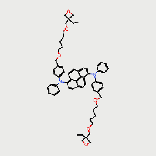 CCC1(COCCCCCOCc2ccc(N(c3ccccc3)c3ccc4ccc5c(N(c6ccccc6)c6ccc(COCCCCCOCC7(CC)COC7)cc6)ccc6ccc3c4c65)cc2)COC1